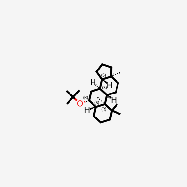 CC(C)(C)O[C@@H]1C[C@H]2[C@@H]3CCC[C@@]3(C)CC[C@@H]2[C@]2(C)[C@@H]1CCCC2(C)C